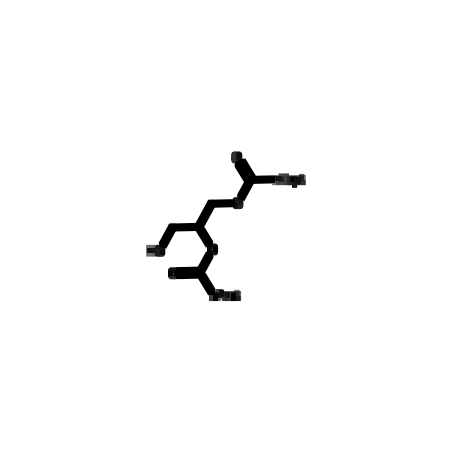 CCCCCCCC(=O)OCC(CO)OC(=O)CCCCC